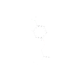 CC(COc1ccc(Cl)cc1)C(=O)O